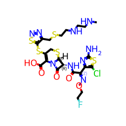 CNCCNCCSCc1nnsc1SC1=C(C(=O)O)N2C(=O)[C@@H](NC(=O)/C(=N\OCCF)c3nc(N)sc3Cl)[C@@H]2SC1